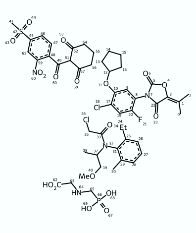 CC(C)=C1OC(=O)N(c2cc(OC3CCCC3)c(Cl)cc2F)C1=O.CCc1cccc(C)c1N(C(=O)CCl)C(C)COC.CS(=O)(=O)c1ccc(C(=O)C2C(=O)CCCC2=O)c([N+](=O)[O-])c1.O=C(O)CNCP(=O)(O)O